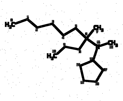 CCCCCCC(C)(CCC)N(C)C1CCCC1